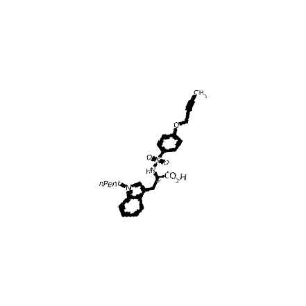 CC#CCOc1ccc(S(=O)(=O)N[C@H](Cc2cn(CCCCC)c3ccccc23)C(=O)O)cc1